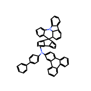 C1=CC2C3C(=C1)c1ccccc1N3c1ccccc1C21c2ccccc2-c2c(N(c3ccc(-c4ccccc4)cc3)c3ccc4c5ccccc5c5ccccc5c4c3)cccc21